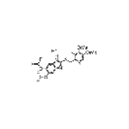 COc1cnc(CSc2nc3cc(OC(F)F)c(OC(F)F)cc3[nH]2)c(C)c1OC.[H+]